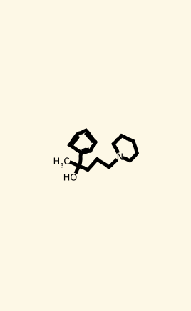 CC(O)(CCCN1CCCCC1)c1ccccc1